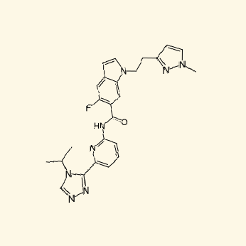 CC(C)n1cnnc1-c1cccc(NC(=O)c2cc3c(ccn3CCc3ccn(C)n3)cc2F)n1